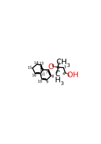 CC(C)(CCO)Oc1cccc2c1=CCCC=2